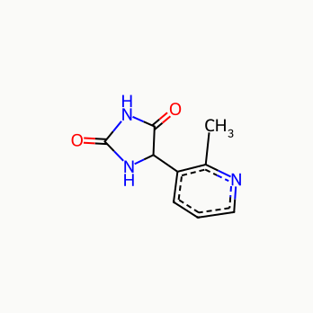 Cc1ncccc1C1NC(=O)NC1=O